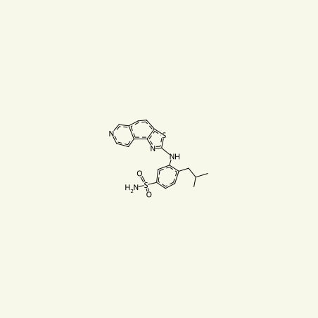 CC(C)Cc1ccc(S(N)(=O)=O)cc1Nc1nc2c(ccc3cnccc32)s1